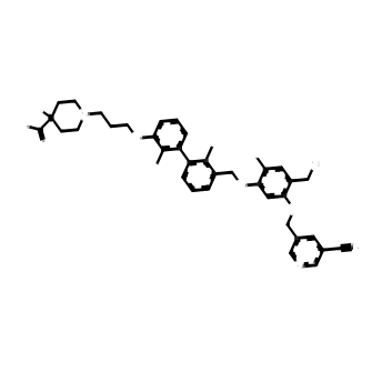 Cc1c(COc2cc(OCc3cncc(C#N)c3)c(CN)cc2Cl)cccc1-c1cccc(OCCCN2CCC(O)(C(=O)O)CC2)c1C